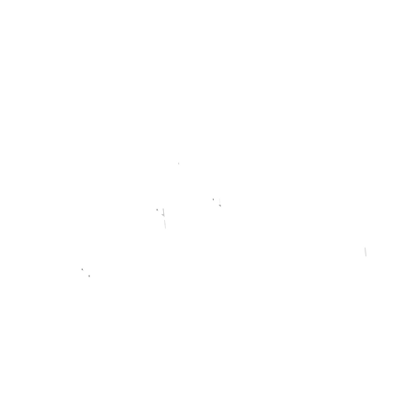 O=C(NCc1cccnc1)NCc1ccc(SC(F)(F)F)cc1F